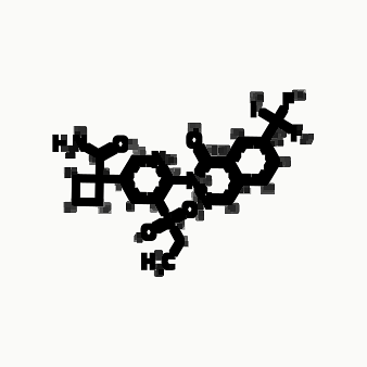 CCS(=O)(=O)c1cc(C2(C(N)=O)CCC2)cnc1-n1ncc2ccc(C(F)(F)F)cc2c1=O